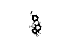 COc1cccc(SC2C(=O)CCC3(C)C(=O)CCC23O)c1